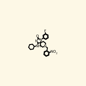 O=C1N=C(NC2CCCCC2)C2(CCN(Cc3ccccc3[N+](=O)[O-])CC2)N1c1cccc(F)c1